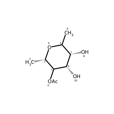 CC(=O)OC1[C@H](C)OC(C)[C@H](O)[C@@H]1O